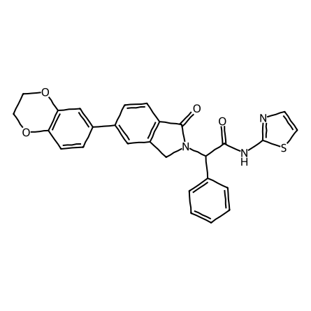 O=C(Nc1nccs1)C(c1ccccc1)N1Cc2cc(-c3ccc4c(c3)OCCO4)ccc2C1=O